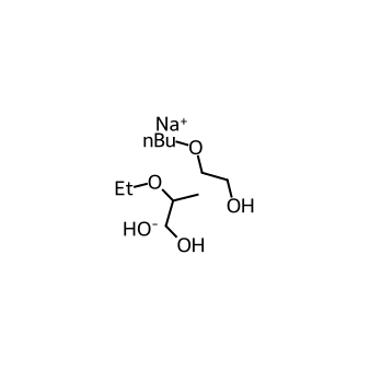 CCCCOCCO.CCOC(C)CO.[Na+].[OH-]